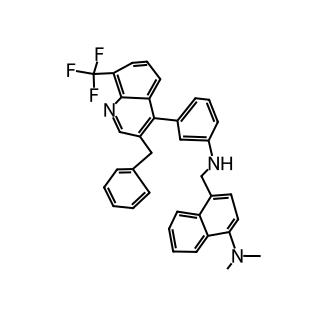 CN(C)c1ccc(CNc2cccc(-c3c(Cc4ccccc4)cnc4c(C(F)(F)F)cccc34)c2)c2ccccc12